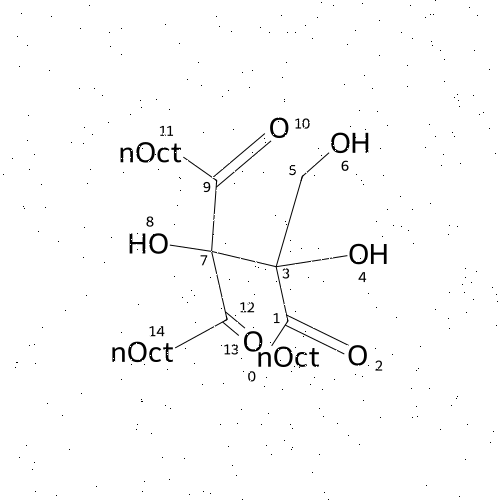 CCCCCCCCC(=O)C(O)(CO)C(O)(C(=O)CCCCCCCC)C(=O)CCCCCCCC